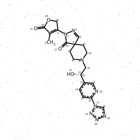 CC1=C(N2N=CC3(CCN(C[C@@H](O)c4ccc(-n5cnnn5)nc4)CC3)C2=O)COC1=O